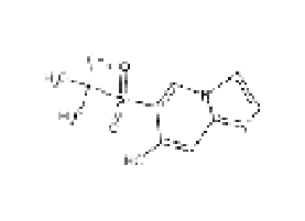 CC(C)(C)S(=O)(=O)c1cn2ccnc2cc1O